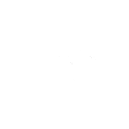 NC(=O)[C@@H]1CC[C@H](O)CN1C(=O)OCc1ccccc1